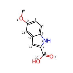 COc1ccc2[nH]c(C(=O)O)[c]c2c1